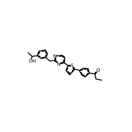 CCC(=O)c1ccc(-c2ccc(-c3ccnc(Cc4cccc(C(C)O)c4)n3)s2)cc1